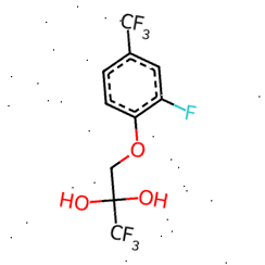 OC(O)(COc1ccc(C(F)(F)F)cc1F)C(F)(F)F